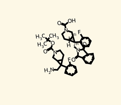 CC(C)(C)OC(=O)N1CCC2C(C1)C2(CN)c1ccccc1F.O=C(O)N1CC[C@@H]2[C@H](C1)[C@@]2(CN1C(=O)c2ccccc2C1=O)c1ccccc1F